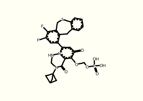 O=C1c2c(OCOP(=O)(O)O)c(=O)cc(-c3cc(F)c(F)c4c3Cc3ccccc3SC4)n2NCN1C12CC(C1)C2